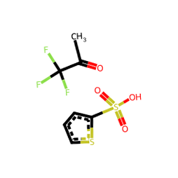 CC(=O)C(F)(F)F.O=S(=O)(O)c1cccs1